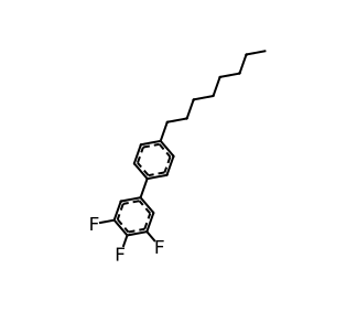 CCCCCCCCc1ccc(-c2cc(F)c(F)c(F)c2)cc1